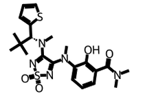 CN(C)C(=O)c1cccc(N(C)C2=NS(=O)(=O)N=C2N(C)[C@@H](c2cccs2)C(C)(C)C)c1O